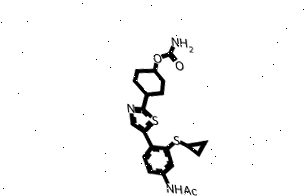 CC(=O)Nc1ccc(-c2cnc(C3CCC(OC(N)=O)CC3)s2)c(SC2CC2)c1